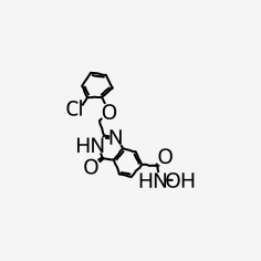 O=C(NO)c1ccc2c(=O)[nH]c(COc3ccccc3Cl)nc2c1